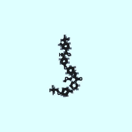 COCn1c(C(=O)N2CCN(Cc3ccc(OCC(F)(F)F)cc3)CC2)cc2ccc(Oc3ccc(NC(=O)c4ccc(C(F)(F)F)c(C)c4)cn3)cc21